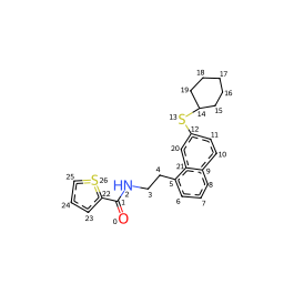 O=C(NCCc1cccc2ccc(SC3CCCCC3)cc12)c1cccs1